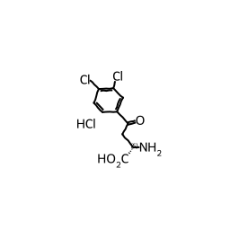 Cl.N[C@@H](CC(=O)c1ccc(Cl)c(Cl)c1)C(=O)O